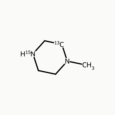 CN1CC[15NH]C[13CH2]1